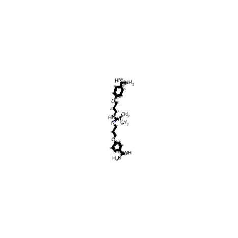 CN(C)/C(=N\CCCOc1ccc(C(=N)N)cc1)NCCCOc1ccc(C(=N)N)cc1